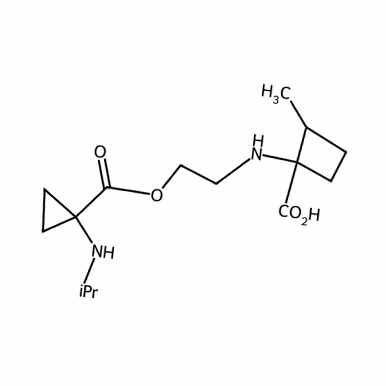 CC(C)NC1(C(=O)OCCNC2(C(=O)O)CCC2C)CC1